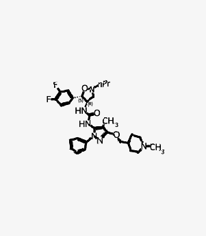 CCCN1C[C@@H](NC(=O)Nc2c(C)c(OCC3CCN(C)CC3)nn2-c2ccccc2)[C@H](c2ccc(F)c(F)c2)O1